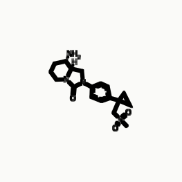 CS(=O)(=O)CC1(c2ccc(N3C[C@@H]4[C@@H](N)CCCN4C3=O)cc2)CC1